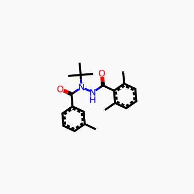 Cc1cccc(C(=O)N(NC(=O)c2c(C)cccc2C)C(C)(C)C)c1